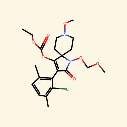 CCOC(=O)OC1=C(c2c(C)ccc(C)c2Cl)C(=O)N(OCOC)C12CCN(OC)CC2